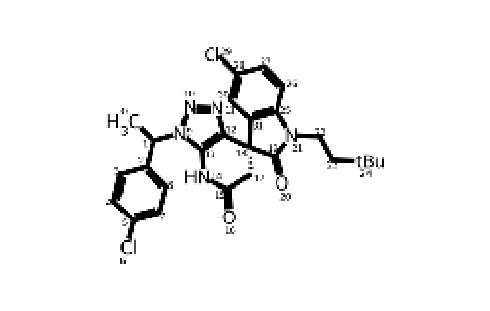 CC(c1ccc(Cl)cc1)n1nnc2c1NC(=O)C[C@]21C(=O)N(CCC(C)(C)C)c2ccc(Cl)cc21